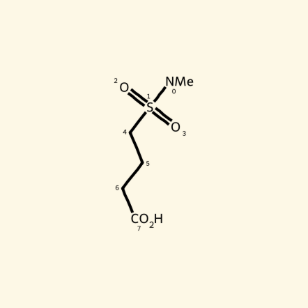 CNS(=O)(=O)CCCC(=O)O